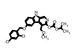 COCc1c(OC(=O)OC(C)C)ncc2[nH]c3ccc(OCc4ccc(Cl)cc4Cl)cc3c12